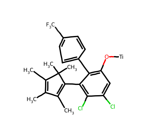 CC1=C(C)C(C)(C)C(c2c(Cl)c(Cl)cc([O][Ti])c2-c2ccc(C(F)(F)F)cc2)=C1C